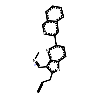 C=CCc1oc2ccc(-c3cc4ccccc4cn3)nc2c1/C=N\C